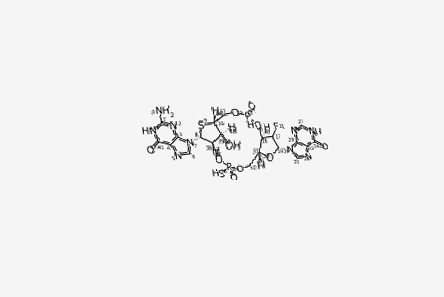 Nc1nc2c(ncn2[C@@H]2S[C@@H]3CO[PH](=O)O[C@H]4C(F)[C@H](n5cnc6c(=O)[nH]cnc65)O[C@@H]4CO[P@@](=O)(S)O[C@@H]2[C@@H]3O)c(=O)[nH]1